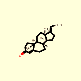 C[C@]12CCC(=O)C=C1CC[C@@H]1[C@@H]2CC[C@]2(C)C(=CC=O)CC[C@@H]12